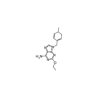 CCOc1nc(N)c2ncn(CC3=CCC(C)C=C3)c2n1